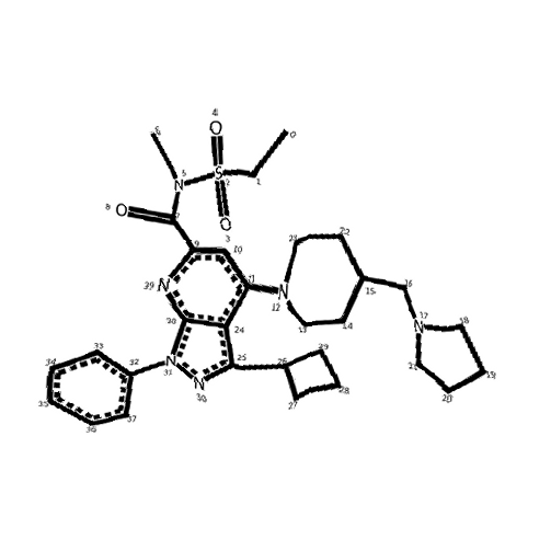 CCS(=O)(=O)N(C)C(=O)c1cc(N2CCC(CN3CCCC3)CC2)c2c(C3CCC3)nn(-c3ccccc3)c2n1